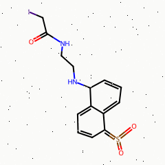 O=C(CI)NCCNC1C=CC=C2C1=CC=CC2=S(=O)=O